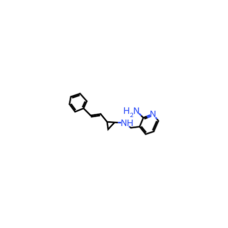 Nc1ncccc1CNC1CC1/C=C/c1ccccc1